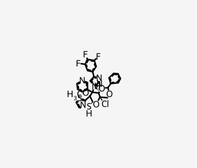 CO[C@@]1(c2nccs2)[C@@H](S)O[C@@]2(Cl)COC(c3ccccc3)O[C@@H]2C1(c1cccnc1)n1cc(-c2cc(F)c(F)c(F)c2)nn1